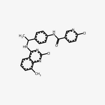 Cc1cccc2c(NC(C)c3ccc(NC(=O)c4ccc(Cl)nc4)cc3)nc(Cl)nc12